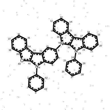 c1ccc(-n2c3ccc(-n4c5ccccc5c5c6ccccc6n(-c6ccccc6)c54)cc3c3c4ccccc4oc32)cc1